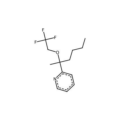 CCCCC(C)(OCC(F)(F)F)c1ccccn1